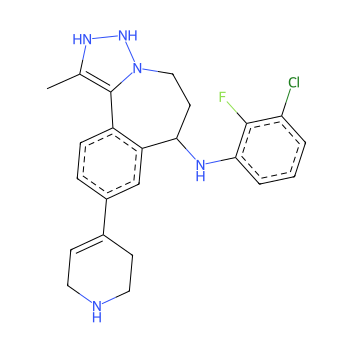 CC1=C2c3ccc(C4=CCNCC4)cc3C(Nc3cccc(Cl)c3F)CCN2NN1